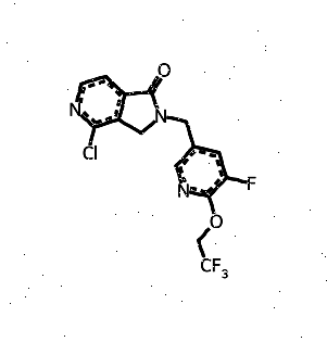 O=C1c2ccnc(Cl)c2CN1Cc1cnc(OCC(F)(F)F)c(F)c1